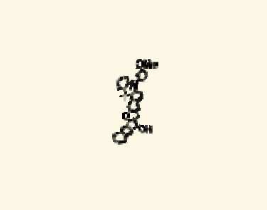 COc1cccc(N2c3ccccc3C(C)(C)c3c2ccc2cc(/C=C4\C(=O)c5cc6ccccc6cc5C4O)ccc32)c1